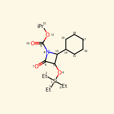 CC[Si](CC)(CC)OC1C(=O)N(C(=O)OC(C)C)C1C1CCCCC1